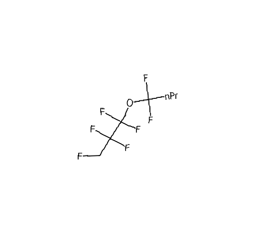 CCCC(F)(F)OC(F)(F)C(F)(F)CF